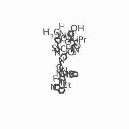 CCc1cccc2cncc(-c3ncc4c(N5CC6CCC(C5)N6)nc(OCCN5CCC(COc6cc(C(C(=O)N7C[C@H](O)C[C@H]7C(=O)NC(C)c7ccc(-c8scnc8C)cc7)C(C)C)on6)CC5)nc4c3F)c12